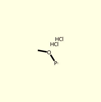 CO[P].Cl.Cl